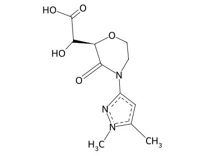 Cc1cc(N2CCO[C@H](C(O)C(=O)O)C2=O)nn1C